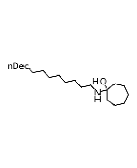 CCCCCCCCCCCCCCCCCCNC1(O)CCCCCC1